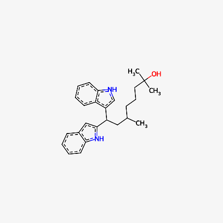 CC(CCCC(C)(C)O)CC(c1cc2ccccc2[nH]1)c1c[nH]c2ccccc12